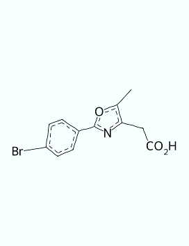 Cc1oc(-c2ccc(Br)cc2)nc1CC(=O)O